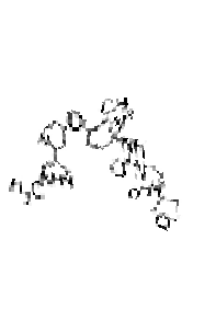 Cc1nc(NC(=O)N2CCN([C@H]3CCOC3)C2=O)ccc1Oc1ccnc(-c2cnn(C)c2)c1